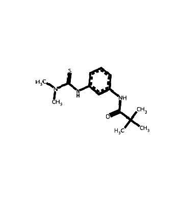 CN(C)C(=S)Nc1cccc(NC(=O)C(C)(C)C)c1